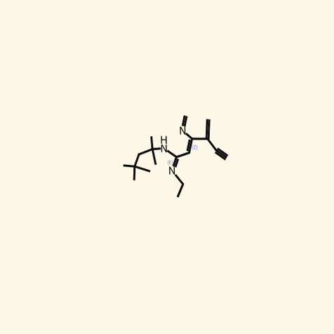 C#CC(=C)/C(=C/C(=N\CC)NC(C)(C)CC(C)(C)C)N=C